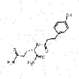 NC(=O)CC[C@H](NC(=O)CCc1ccc(O)cc1)C(N)=O